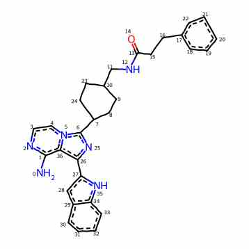 Nc1nccn2c(C3CCC(CNC(=O)CCc4ccccc4)CC3)nc(-c3cc4ccccc4[nH]3)c12